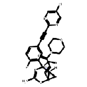 NC1=N[C@](CF)(c2cc(C#Cc3ncc(Cl)cn3)ccc2F)[C@@H]2C[C@]2(/C=C/C(=O)N2CCOCC2)S1